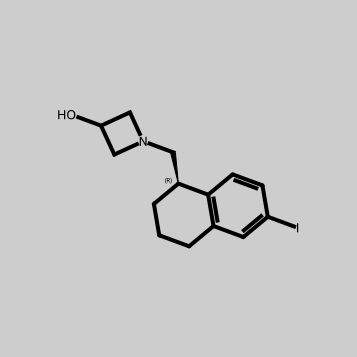 OC1CN(C[C@@H]2CCCc3cc(I)ccc32)C1